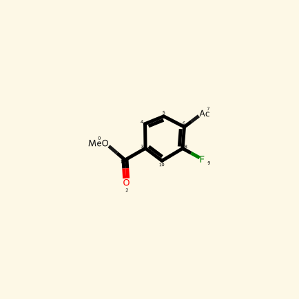 COC(=O)c1ccc(C(C)=O)c(F)c1